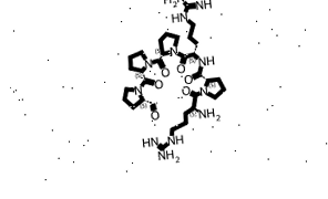 N=C(N)NCCC[C@H](NC(=O)[C@@H]1CCCN1C(=O)[C@@H](N)CCCNC(=N)N)C(=O)N1CCC[C@H]1C(=O)N1CCC[C@H]1C(=O)N1CCC[C@H]1[C]=O